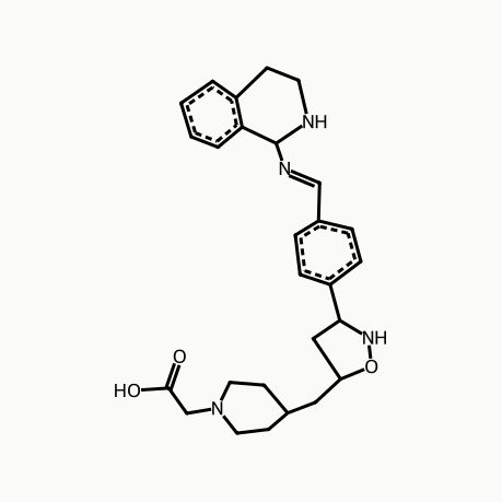 O=C(O)CN1CCC(CC2CC(c3ccc(C=NC4NCCc5ccccc54)cc3)NO2)CC1